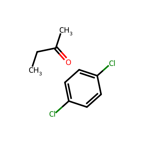 CCC(C)=O.Clc1ccc(Cl)cc1